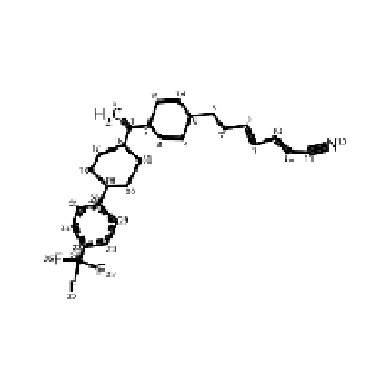 C=C(C1CCC(CCC=CC=CC#N)CC1)C1CCC(c2ccc(C(F)(F)F)cc2)CC1